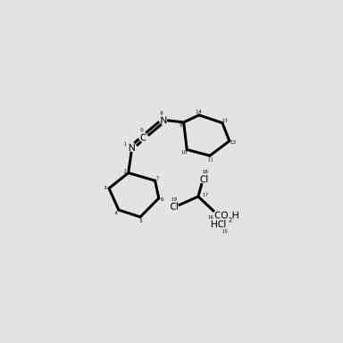 C(=NC1CCCCC1)=NC1CCCCC1.Cl.O=C(O)C(Cl)Cl